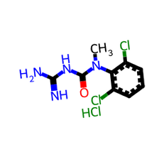 CN(C(=O)NC(=N)N)c1c(Cl)cccc1Cl.Cl